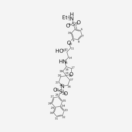 CCNS(=O)(=O)c1cccc(OC[C@@H](O)CNC2COC3(CCN(S(=O)(=O)c4ccc5ccccc5c4)CC3)C2)c1